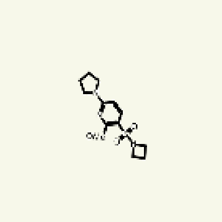 COc1nc(N2CCCC2)ccc1S(=O)(=O)N1CCC1